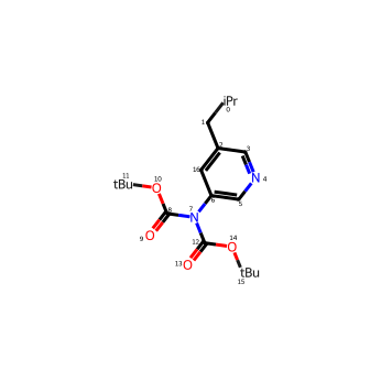 CC(C)Cc1cncc(N(C(=O)OC(C)(C)C)C(=O)OC(C)(C)C)c1